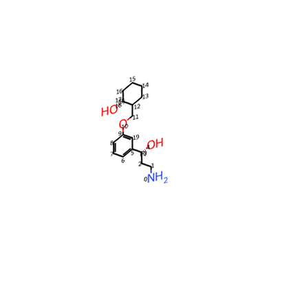 NCC[C@@H](O)c1cccc(OCC2CCCC[C@H]2O)c1